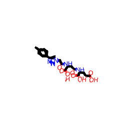 Cc1ccc(-c2cn(CC(=O)NC(CC(=O)NC(CCC(=O)O)C(=O)O)C(=O)O)nn2)cc1